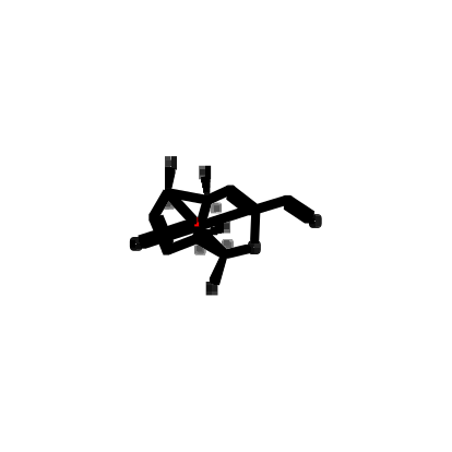 O=CC1=C[C@H]2[C@@H]3C=C[C@H]2C(=O)O[C@@H]3O1